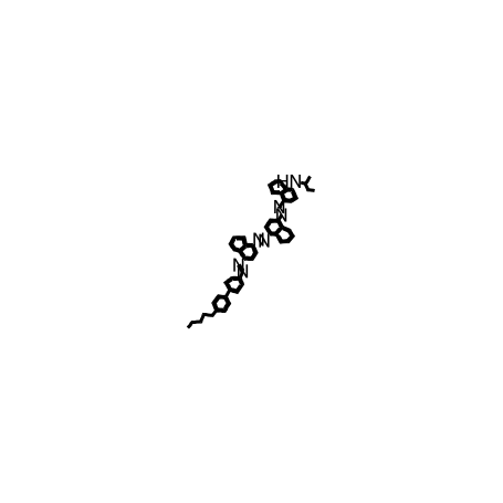 CCCCCc1ccc(-c2ccc(/N=N/c3ccc(/N=N/c4ccc(/N=N/c5ccc(NC(C)CC)c6ccccc56)c5ccccc45)c4ccccc34)cc2)cc1